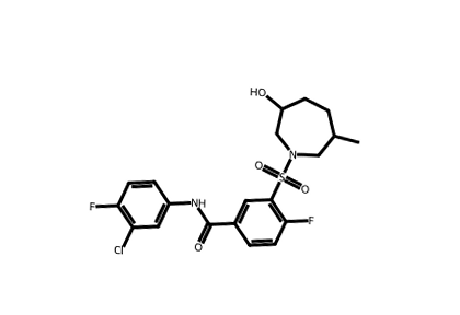 CC1CCC(O)CN(S(=O)(=O)c2cc(C(=O)Nc3ccc(F)c(Cl)c3)ccc2F)C1